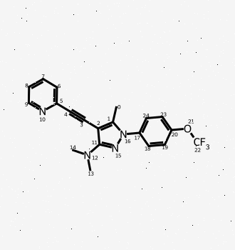 Cc1c(C#Cc2ccccn2)c(N(C)C)nn1-c1ccc(OC(F)(F)F)cc1